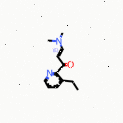 CCc1cccnc1C(=O)/C=C/N(C)C